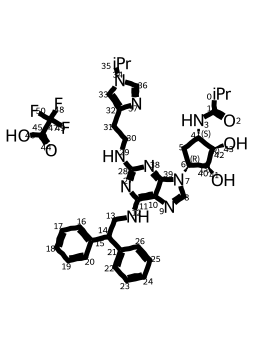 CC(C)C(=O)N[C@H]1C[C@@H](n2cnc3c(NCC(c4ccccc4)c4ccccc4)nc(NCCc4cn(C(C)C)cn4)nc32)[C@H](O)[C@@H]1O.O=C(O)C(F)(F)F